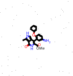 COC(=O)c1[nH]c(=O)c2c(C)[nH]cc2c1-c1cc(N)ccc1Oc1ccccc1